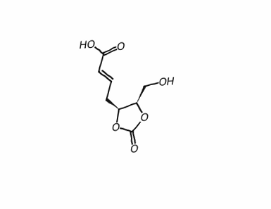 O=C(O)/C=C/C[C@@H]1OC(=O)O[C@@H]1CO